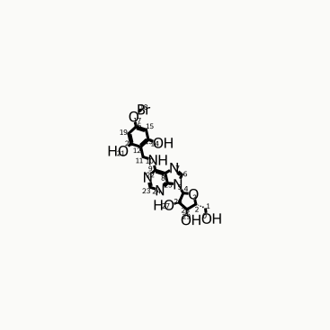 OC[C@H]1OC(n2cnc3c(NCc4c(O)cc(OBr)cc4O)ncnc32)[C@H](O)[C@@H]1O